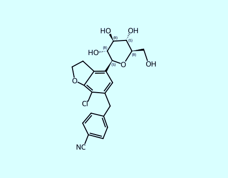 N#Cc1ccc(Cc2cc([C@@H]3O[C@H](CO)[C@@H](O)[C@H](O)[C@H]3O)c3c(c2Cl)OCC3)cc1